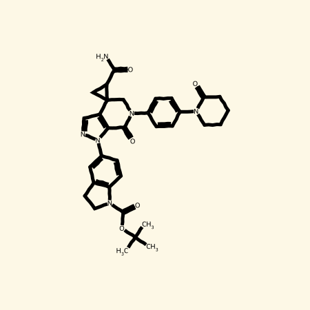 CC(C)(C)OC(=O)N1CCc2cc(-n3ncc4c3C(=O)N(c3ccc(N5CCCCC5=O)cc3)CC43CC3C(N)=O)ccc21